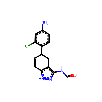 Nc1ccc(C2C=Cc3[nH]nc(NC=O)c3C2)c(Cl)c1